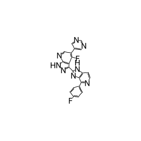 Fc1ccc(-c2nccc3[nH]c(-c4n[nH]c5ncc(-c6cncnc6)c(F)c45)nc23)cc1